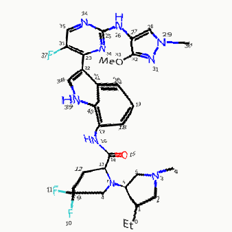 CCC1CN(C)C[C@@H]1N1CC(F)(F)CC1C(=O)Nc1cccc2c(-c3nc(Nc4cn(C)nc4OC)ncc3F)c[nH]c12